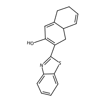 OC1=C(c2nc3ccccc3s2)CC2C=CCCC2=C1